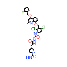 CNC(=O)c1ccc(CCC(=O)NCC(=O)N(C)c2ccc(Cl)c(COc3cccc4c(OCc5ccccc5F)cc(C)nc34)c2Cl)cn1